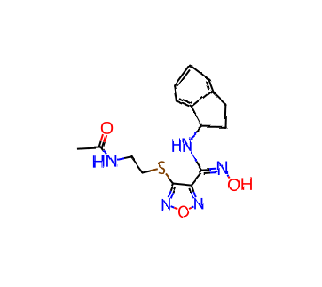 CC(=O)NCCSc1nonc1C(=NO)NC1CCc2ccccc21